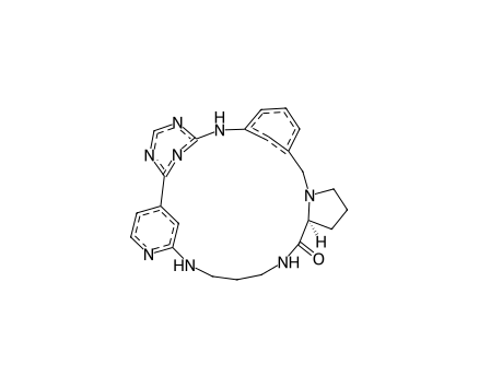 O=C1NCCCNc2cc(ccn2)-c2ncnc(n2)Nc2cccc(c2)CN2CCC[C@@H]12